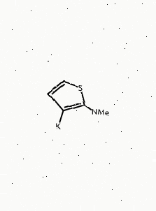 CNc1scc[c]1[K]